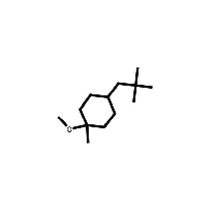 COC1(C)CCC(CC(C)(C)C)CC1